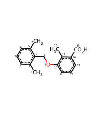 Cc1cccc(C)c1COc1cccc(C(=O)O)c1C